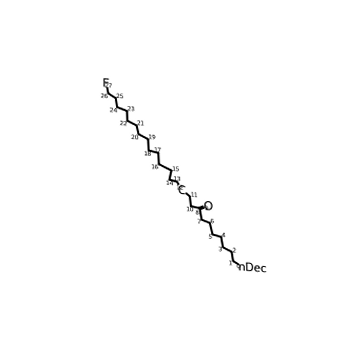 CCCCCCCCCCCCCCCCCC(=O)CCCCCCCCCCCCCCCCCF